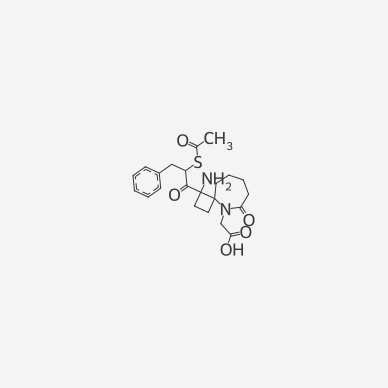 CC(=O)SC(Cc1ccccc1)C(=O)C1(N)CCC12CCCCC(=O)N2CC(=O)O